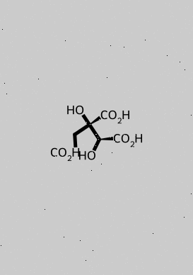 O=C(O)C[C@@](O)(C(=O)O)[C@H](O)C(=O)O